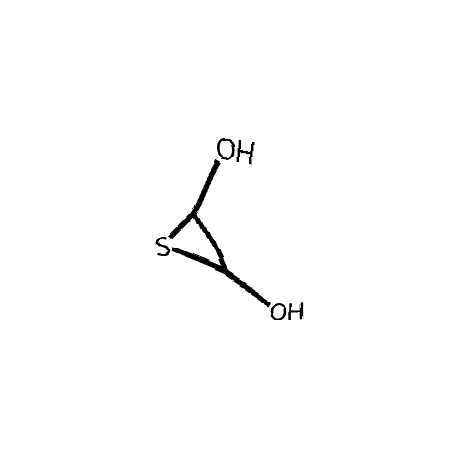 OC1SC1O